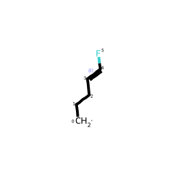 [CH2]CC/C=C/F